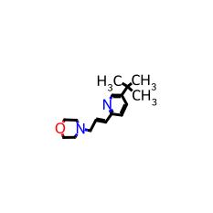 CC(C)(C)c1ccc(/C=C/CN2CCOCC2)nc1